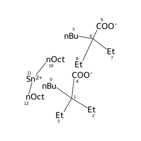 CCCCC(CC)(CC)C(=O)[O-].CCCCC(CC)(CC)C(=O)[O-].CCCCCCC[CH2][Sn+2][CH2]CCCCCCC